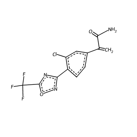 C=C(C(N)=O)c1ccc(-c2noc(C(F)(F)F)n2)c(Cl)c1